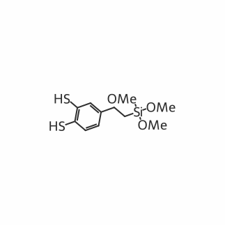 CO[Si](CCc1ccc(S)c(S)c1)(OC)OC